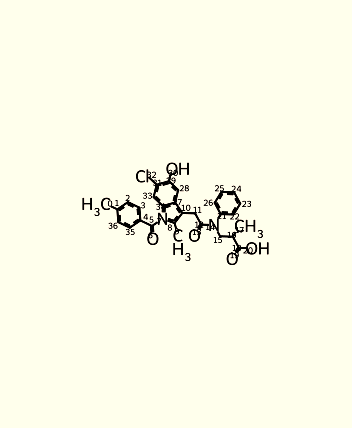 Cc1ccc(C(=O)n2c(C)c(CC(=O)N(CC(C)C(=O)O)c3ccccc3)c3cc(O)c(Cl)cc32)cc1